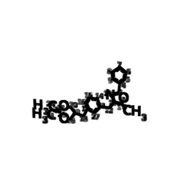 Cc1oc(-c2ccccc2)nc1Cc1cccc(CC2COC(C)(C)OC2)c1